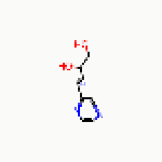 OCC(O)/C=C/c1cnccn1